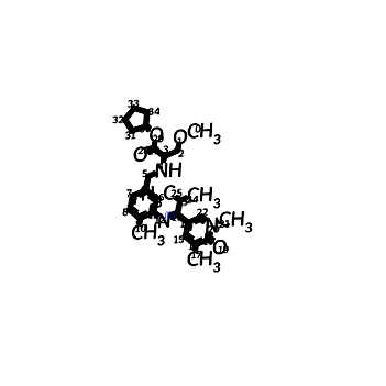 COCC(NCc1ccc(C)c(/N=C(/c2cc(C)c(=O)n(C)c2)C(C)C)c1)C(=O)OC1CCCC1